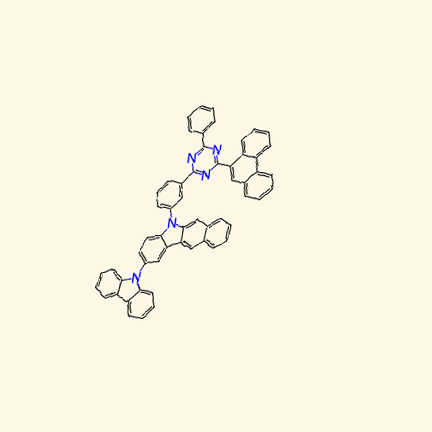 c1ccc(-c2nc(-c3cccc(-n4c5ccc(-n6c7ccccc7c7ccccc76)cc5c5cc6ccccc6cc54)c3)nc(-c3cc4ccccc4c4ccccc34)n2)cc1